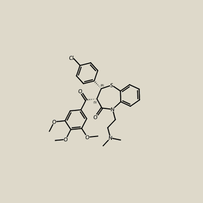 COc1cc(C(=O)[C@H]2C(=O)N(CCN(C)C)c3ccccc3S[C@H]2c2ccc(Cl)cc2)cc(OC)c1OC